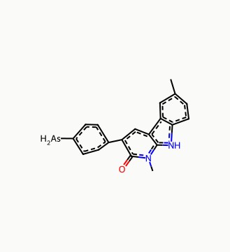 Cc1ccc2[nH]c3c(cc(-c4ccc([AsH2])cc4)c(=O)n3C)c2c1